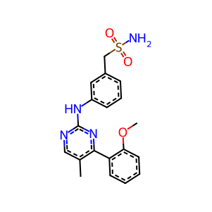 COc1ccccc1-c1nc(Nc2cccc(CS(N)(=O)=O)c2)ncc1C